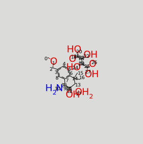 COCc1ccc2c(c1)[C@@H](N)[C@H](O)CC2(C)C.O.O=C(O)[C@@H](O)[C@H](O)C(=O)O